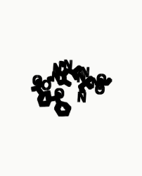 CCS(=O)(=O)N1CC(CC#N)(n2cc(-c3ncnc4c3C(C)CN4COC(=O)C(C)c3cccc(C(=O)c4ccccc4)c3)cn2)C1